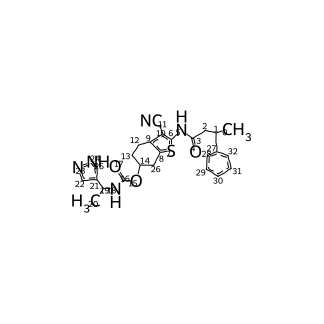 CC(CC(=O)Nc1sc2c(c1C#N)CCC(OC(=O)NC(C)c1cn[nH]c1)C2)c1ccccc1